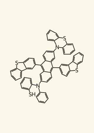 Sc1ccccc1N(c1ccccc1)c1ccc2c(-c3ccc4sc5ccccc5c4c3)c3cc(N4c5ccccc5Sc5ccccc54)ccc3c(-c3ccc4sc5ccccc5c4c3)c2c1